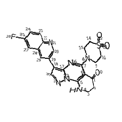 O=C1CCNc2c1c(N1CCS(=O)(=O)CC1)nc1c(-c3cnc4ccc(F)cc4c3)cnn21